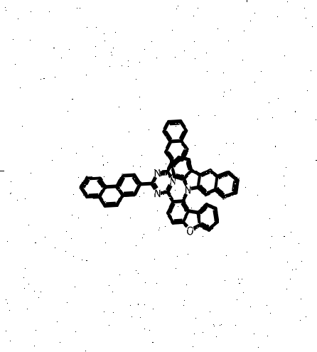 c1ccc2cc(-c3nc(-c4ccc5c(ccc6ccccc65)c4)nc(-c4ccc5oc6ccccc6c5c4-n4c5ccccc5c5cc6ccccc6cc54)n3)ccc2c1